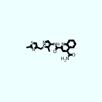 Cc1nc(Cn2ncc(NC(=O)c3cc(C(N)=O)c4ccccc4n3)c2C)cs1